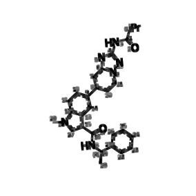 CC(C)C(=O)Nc1nc2cc(-c3ccc4c(c3)c(C(=O)N[C@H](C)c3ccccc3)cn4C)ccn2n1